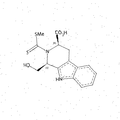 CSC(=S)N1[C@@H](C(=O)O)Cc2c([nH]c3ccccc23)[C@H]1CO